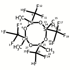 C[Si]1(C(F)(F)F)O[Si](C)(C(F)(F)F)O[Si](C)(C(F)(F)F)O[Si](C)(C(F)(F)F)O1